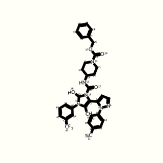 CC1=C(c2ccnn2-c2ccc(C#N)cc2)N(C(=O)NC2CCN(C(=O)OCc3ccccc3)CC2)C(O)N1c1cccc(C(F)(F)F)c1